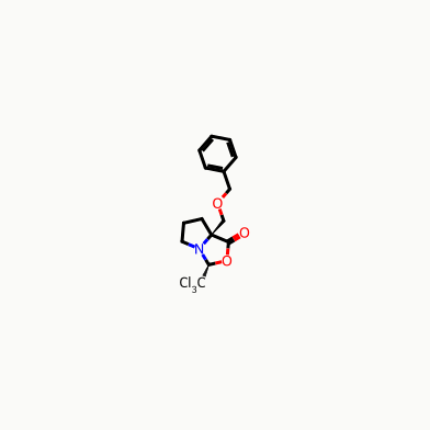 O=C1O[C@@H](C(Cl)(Cl)Cl)N2CCC[C@]12COCc1ccccc1